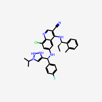 CC[C@@H](Nc1c(C#N)cnc2c(Cl)cc(N[C@H](C3=CN(C(C)C)NN3)c3ccc(F)cc3)cc12)c1ccccc1C